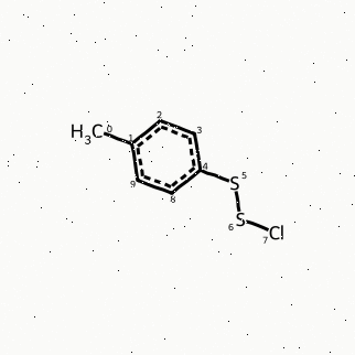 Cc1ccc(SSCl)cc1